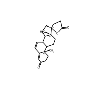 C[C@@]12CCC(=O)C=C1C=CC1C2CC[C@]2(C)C1CC[C@]21CCC(=O)O1